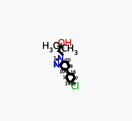 CC(C)(O)CCn1cnc2cc(-c3ccc(Cl)cc3)ccc21